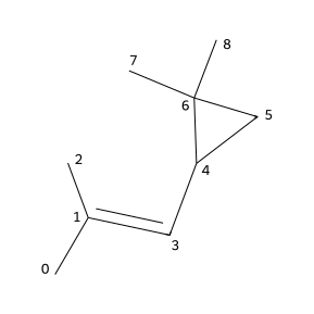 CC(C)=CC1CC1(C)C